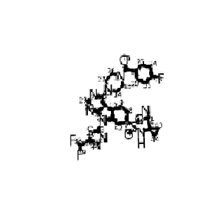 N#CC1(NS(=O)(=O)c2ccc3c4c(N5CCN(C(=O)c6ccc(F)cc6)CC5)ncnc4n(-c4nnc(C(F)F)s4)c3c2)CC1